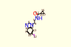 O=C(NCCn1cnc2ccc(I)cc21)C1CC1